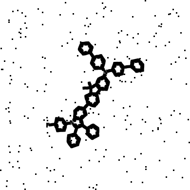 CC1(C)c2cc(-c3ccc4c(c3)c(-c3ccccc3)c(-c3ccccc3)n4-c3ccc(F)cc3)ccc2-c2ccc(N(c3ccc(-c4ccccc4)cc3)c3ccc(-c4ccccc4)cc3)cc21